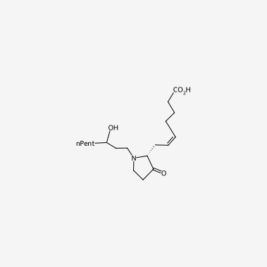 CCCCCC(O)CCN1CCC(=O)[C@H]1C/C=C\CCCC(=O)O